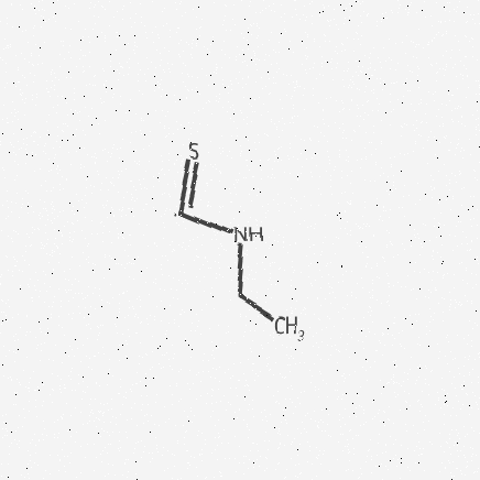 CCN[C]=S